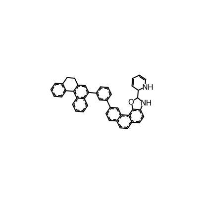 C1=CNC(C2Nc3ccc4ccc5ccc(-c6cccc(-c7cc8c(c9ccccc79)-c7ccccc7CC8)c6)cc5c4c3O2)C=C1